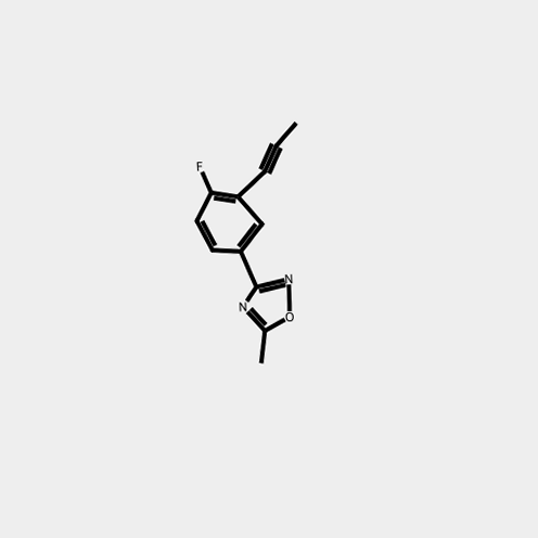 CC#Cc1cc(-c2noc(C)n2)ccc1F